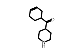 O=C(C1CC=CCC1)C1CCNCC1